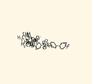 C[C@@H]1[C@H]2C[C@@H](C[C@H]1Nc1ccc(S(=O)(=O)NC(=O)c3ccc(-c4ccc(F)cc4)cc3)cc1[N+](=O)[O-])C2(C)C